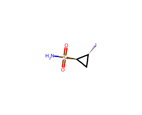 NS(=O)(=O)[C@@H]1C[C@H]1I